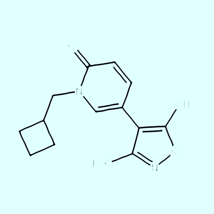 Cc1noc(C)c1-c1ccc(=O)n(CC2CCC2)c1